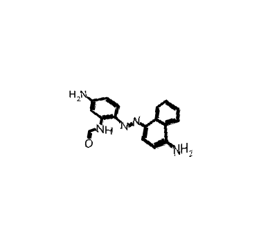 Nc1ccc(/N=N/c2ccc(N)c3ccccc23)c(NC=O)c1